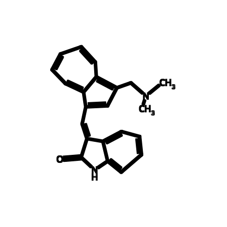 CN(C)Cc1cc(/C=C2/C(=O)Nc3ccccc32)c2cccccc1-2